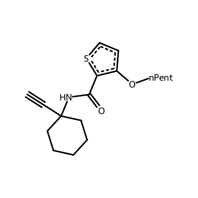 C#CC1(NC(=O)c2sccc2OCCCCC)CCCCC1